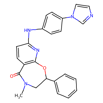 CN1CC(c2ccccc2)Oc2nc(Nc3ccc(-n4ccnc4)cc3)ccc2C1=O